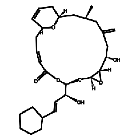 C=C1C[C@H](C)C[C@@H]2CC=C[C@@H](C/C=C\C(=O)O[C@H]([C@@H](O)/C=C/C3CCCCC3)C[C@@H]3O[C@H]3[C@@H](O)C1)O2